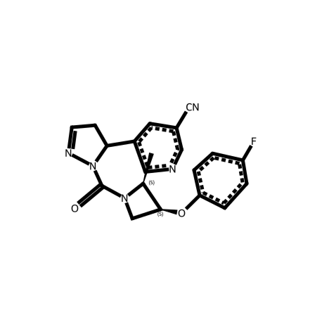 C[C@H]1[C@@H](Oc2ccc(F)cc2)CN1C(=O)N1N=CCC1c1cncc(C#N)c1